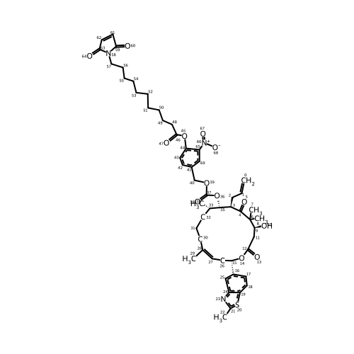 C=CC[C@H]1C(=O)C(C)(C)[C@@H](O)CC(=O)O[C@H](c2ccc3sc(C)nc3c2)C/C=C(/C)CCC[C@H](C)[C@@H]1OC(=O)OCc1ccc(OC(=O)CCCCCCCCCCN2C(=O)C=CC2=O)c([N+](=O)[O-])c1